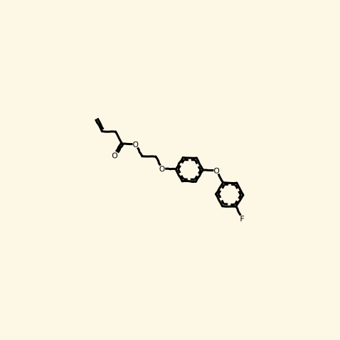 C=CCC(=O)OCCOc1ccc(Oc2ccc(F)cc2)cc1